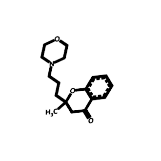 CC1(CCCN2CCOCC2)CC(=O)c2ccccc2O1